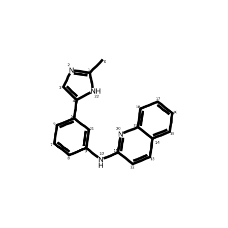 Cc1ncc(-c2cccc(Nc3ccc4ccccc4n3)c2)[nH]1